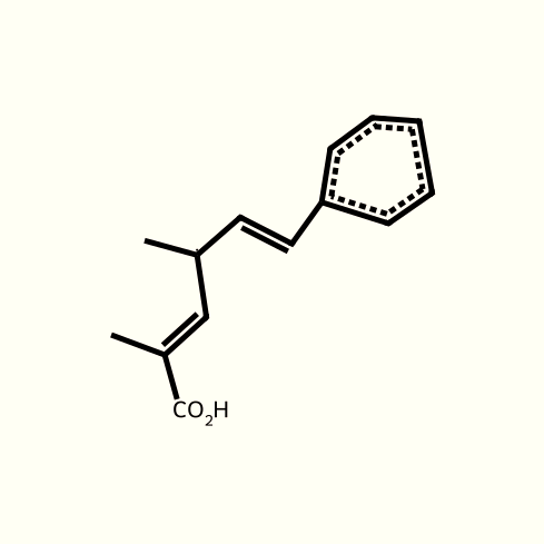 C[C](C=Cc1ccccc1)C=C(C)C(=O)O